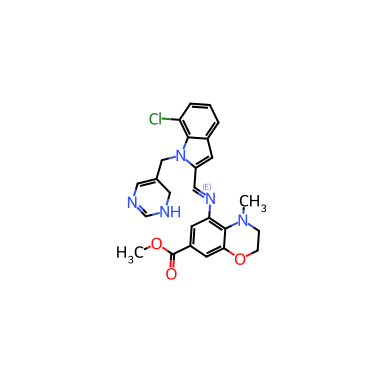 COC(=O)c1cc(/N=C/c2cc3cccc(Cl)c3n2CC2=CN=CNC2)c2c(c1)OCCN2C